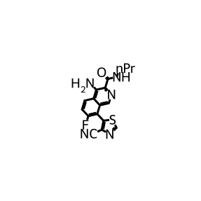 CCCNC(=O)c1ncc2c(-c3scnc3C#N)c(F)ccc2c1N